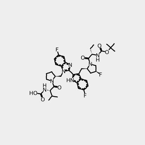 CC[C@H](NC(=O)OC(C)(C)C)C(=O)N1C[C@@H](F)C[C@H]1Cc1c(-c2nc3cc(F)ccc3n2C[C@@H]2CCCN2C(=O)[C@@H](NC(=O)O)C(C)C)[nH]c2cc(F)ccc12